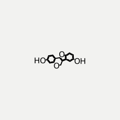 Oc1ccc2c(c1)OCc1c-2oc2ccc(O)cc12